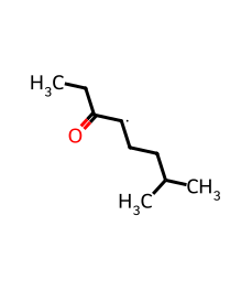 CCC(=O)[CH]CCC(C)C